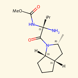 COC(=O)N[C@](N)(C(=O)N1[C@H](C)C[C@@H]2CCC[C@@H]21)C(C)C